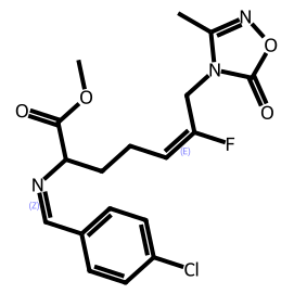 COC(=O)C(CC/C=C(/F)Cn1c(C)noc1=O)/N=C\c1ccc(Cl)cc1